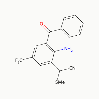 CSC(C#N)c1cc(C(F)(F)F)cc(C(=O)c2ccccc2)c1N